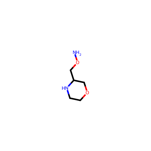 NOCC1COCCN1